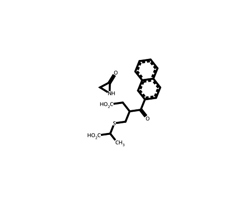 CC(SCC(CC(=O)O)C(=O)c1ccc2ccccc2c1)C(=O)O.O=C1CN1